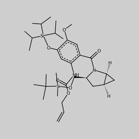 C=CCOC(=O)Nc1cc(O[Si](C(C)C)(C(C)C)C(C)C)c(OC)cc1C(=O)N1[C@H](CO[Si](C)(C)C(C)(C)C)C[C@@H]2C[C@@H]21